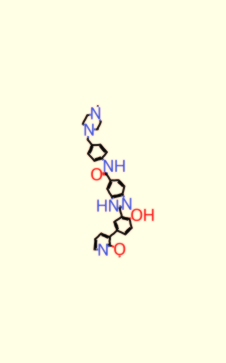 COc1ncccc1-c1ccc(O)c(-c2nc3ccc(C(=O)Nc4ccc(CN5CCN(C)CC5)cc4)cc3[nH]2)c1